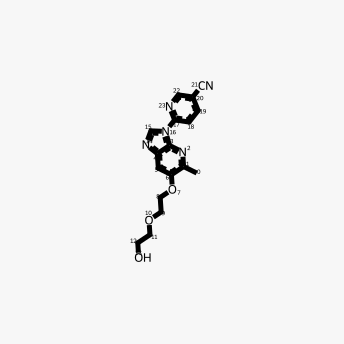 Cc1nc2c(cc1OCCOCCO)ncn2-c1ccc(C#N)cn1